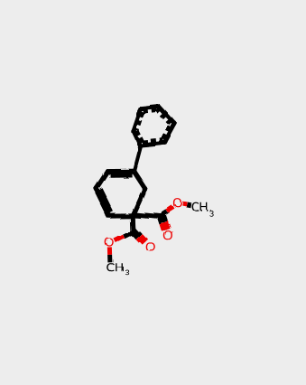 COC(=O)C1(C(=O)OC)C=CC=C(c2ccccc2)C1